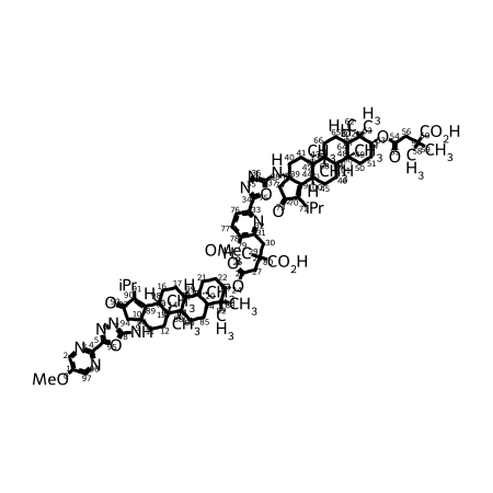 COc1cnc(-c2nnc(N[C@@]34CC[C@]5(C)[C@H](CC[C@@H]6[C@@]7(C)CC[C@H](OC(=O)CC(C)(Cc8nc(-c9nnc(N[C@@]%10%11CC[C@]%12(C)[C@H](CC[C@@H]%13[C@@]%14(C)CC[C@H](OC(=O)CC(C)(C)C(=O)O)C(C)(C)[C@@H]%14CC[C@]%13%12C)C%10=C(C(C)C)C(=O)C%11)o9)ccc8OC)C(=O)O)C(C)(C)C7CC[C@]65C)C3=C(C(C)C)C(=O)C4)o2)nc1